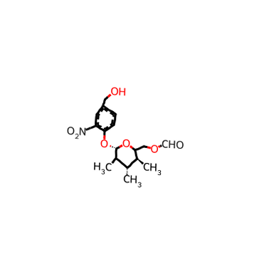 CC1[C@H](Oc2ccc(CO)cc2[N+](=O)[O-])OC(COC=O)[C@@H](C)[C@@H]1C